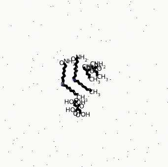 CCCCC(CC)C(N)=O.CCCCC(CC)C(N)=O.CCCCCCCC/C=C\CCCCCCCC(N)=O.CCCCCCCC/C=C\CCCCCCCC(N)=O.O=C(O)CC(C(=O)O)C(CC(=O)O)C(=O)O